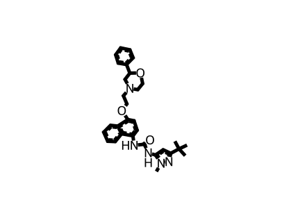 Cn1nc(C(C)(C)C)cc1NC(=O)Nc1ccc(OCCN2CCOC(c3ccccc3)C2)c2ccccc12